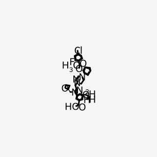 [2H]C([2H])([2H])Oc1cc(C(=O)O)cc2c1nc(CN1CCN(c3cccc4c3OC(C)(c3ccc(Cl)cc3F)O4)C=N1)n2C[C@@H]1CCO1